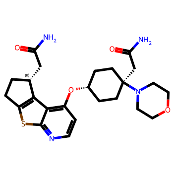 NC(=O)C[C@H]1CCc2sc3nccc(O[C@H]4CC[C@](CC(N)=O)(N5CCOCC5)CC4)c3c21